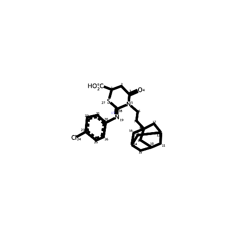 O=C(O)C1CC(=O)N(CCC23CC4CC(CC(C4)C2)C3)/C(=N/c2ccc(Cl)cc2)S1